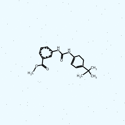 COC(=O)c1cccc(NC(=O)NC2=CC=C(C(C)(C)C)CC2)c1